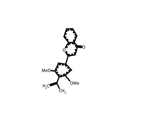 C=C(C)c1c(OC)cc(-c2cc(=O)c3ccccc3o2)cc1OC